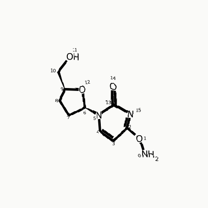 NOc1ccn([C@H]2CC[C@@H](CO)O2)c(=O)n1